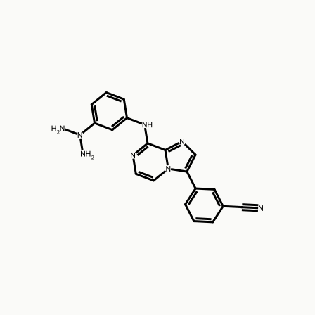 N#Cc1cccc(-c2cnc3c(Nc4cccc(N(N)N)c4)nccn23)c1